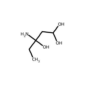 CCC(N)(O)CC(O)O